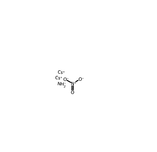 O=[N+]([O-])[O-].[Cs+].[Cs+].[NH2-]